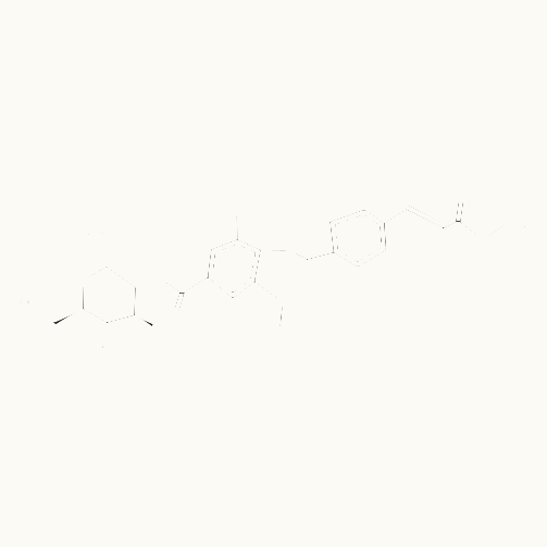 COC(=O)/C=C/c1ccc(COc2c(Cl)cc(C(=O)O[C@H]3[C@@H](OC)O[C@H](CO)[C@@H](O)[C@@H]3O)cc2OC)cc1